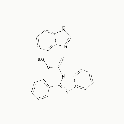 CC(C)(C)OC(=O)n1c(-c2ccccc2)nc2ccccc21.c1ccc2[nH]cnc2c1